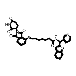 O=C1CCC(N2C(=O)c3cccc(SCCCCCCC(=O)NC(c4cccnc4)c4cc5ccccc5o4)c3C2=O)C(=O)N1